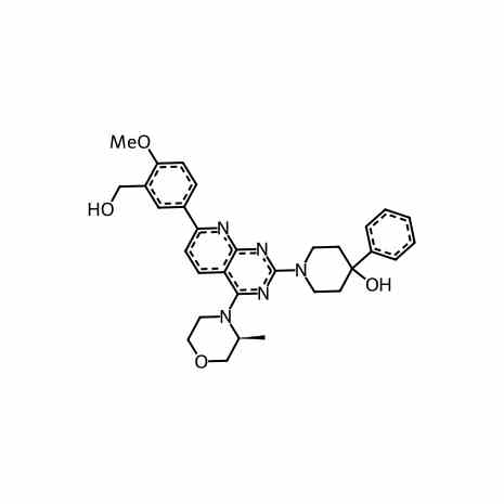 COc1ccc(-c2ccc3c(N4CCOC[C@@H]4C)nc(N4CCC(O)(c5ccccc5)CC4)nc3n2)cc1CO